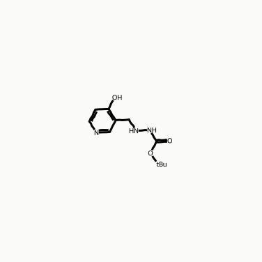 CC(C)(C)OC(=O)NNCc1cnccc1O